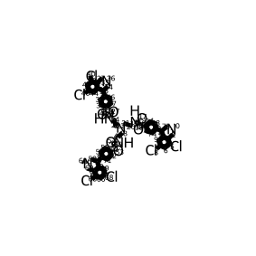 CN1Cc2c(Cl)cc(Cl)cc2C(c2ccc(S(=O)(=O)NCCN(CCNS(=O)(=O)c3ccc(C4CN(C)Cc5c(Cl)cc(Cl)cc54)cc3)CCNS(=O)(=O)c3ccc(C4CN(C)Cc5c(Cl)cc(Cl)cc54)cc3)cc2)C1